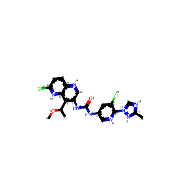 COC(C)c1c(NC(=O)Nc2cnc(-n3cnc(C)n3)c(Cl)c2)cnc2ccc(Cl)nc12